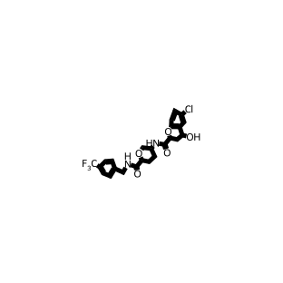 O=C(NCc1ccc(C(F)(F)F)cc1)C1CCC(NC(=O)C2CC(O)c3cc(Cl)ccc3O2)CO1